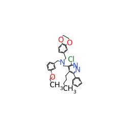 CCCCc1c(-c2ccccc2)nnc(Cl)c1CN(Cc1cccc(OCC)c1)Cc1ccc2c(c1)OCCO2